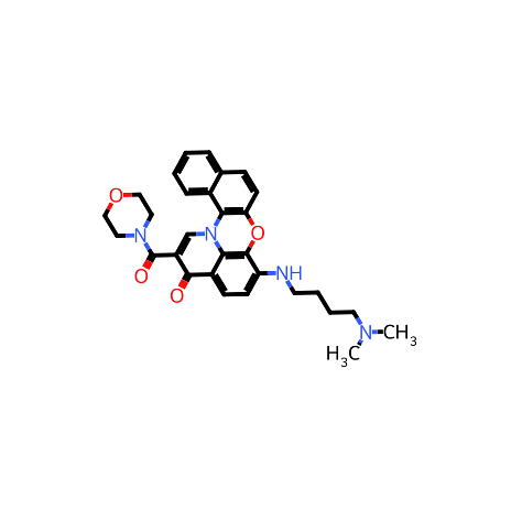 CN(C)CCCCNc1ccc2c(=O)c(C(=O)N3CCOCC3)cn3c2c1Oc1ccc2ccccc2c1-3